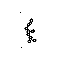 C1=C(c2cccc(-c3nc(-c4ccccc4)c4c(n3)=CCC(c3ccc5c(c3)c3ccccc3n5-c3ccccc3)C=4)c2)CC2Sc3ccccc3C2=C1